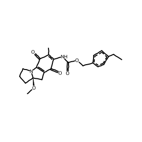 CCc1ccc(COC(=O)NC2=C(C)C(=O)C3=C(C[C@]4(OC)CCCN34)C2=O)cc1